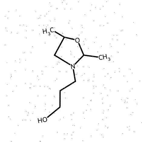 CC1CN(CCCO)C(C)O1